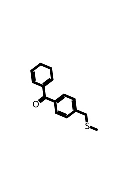 CSCc1ccc(C(=O)C2=CCCC=C2)cc1